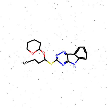 CCCC(OC1CCCCO1)Sc1nnc2c(n1)[nH]c1ccccc12